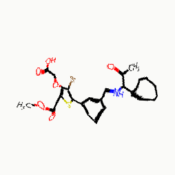 COC(=O)c1sc(-c2cccc(CNC(C(C)=O)C3CCCCC3)c2)c(Br)c1OCC(=O)O